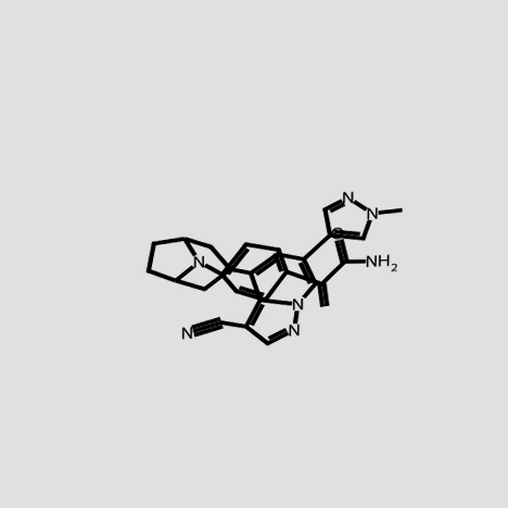 C=C(C(N)=O)c1ccc(N2C3CCC2CC(c2cc(-c4cnn(C)c4)cn4ncc(C#N)c24)C3)cc1